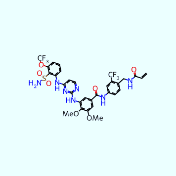 C=CC(=O)NCc1ccc(NC(=O)c2cc(Nc3nccc(Nc4cccc(OC(F)(F)F)c4S(N)(=O)=O)n3)c(OC)c(OC)c2)cc1C(F)(F)F